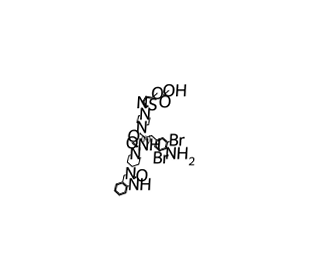 Nc1c(Br)cc(C[C@@H](NC(=O)N2CCC(N3Cc4ccccc4NC3=O)CC2)C(=O)N2CCN(c3ncc(OC(=O)O)s3)CC2)cc1Br